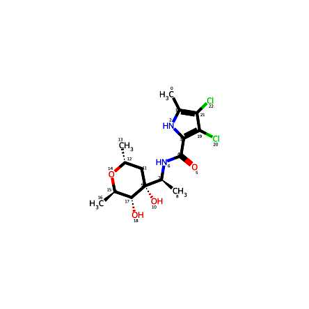 Cc1[nH]c(C(=O)N[C@@H](C)[C@]2(O)C[C@@H](C)O[C@H](C)[C@H]2O)c(Cl)c1Cl